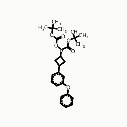 CC(C)(C)OC(=O)ON(C(=O)OC(C)(C)C)C1CC(c2cccc(Oc3ccccc3)c2)C1